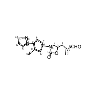 O=CNCC1CN(c2ccc(-n3cccn3)c(F)c2)C(=O)O1